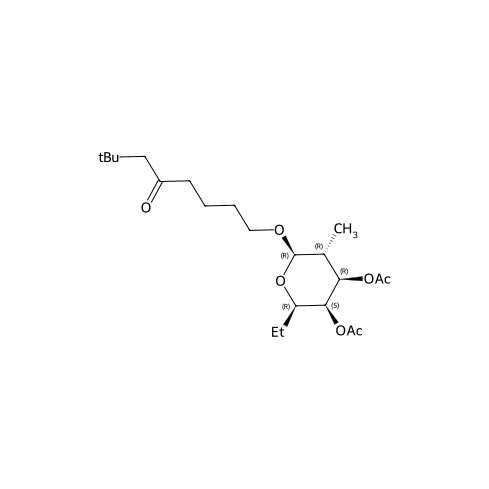 CC[C@H]1O[C@@H](OCCCCC(=O)CC(C)(C)C)[C@H](C)[C@@H](OC(C)=O)[C@H]1OC(C)=O